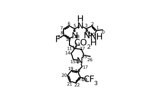 Cc1cc(Nc2ccc(F)c(C[C@@]3(C(=O)O)CCN(Cc4ccccc4C(F)(F)F)[C@H](C)C3)n2)n[nH]1